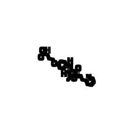 CC(=O)NC(Nc1ccc(OCCCC(=O)O)cc1)C(=O)NCCc1ccccn1